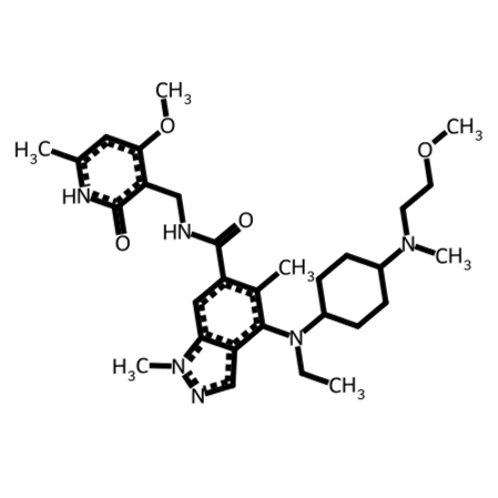 CCN(c1c(C)c(C(=O)NCc2c(OC)cc(C)[nH]c2=O)cc2c1cnn2C)C1CCC(N(C)CCOC)CC1